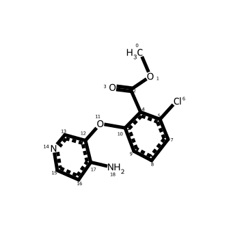 COC(=O)c1c(Cl)cccc1Oc1cnccc1N